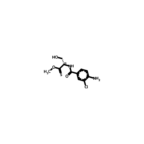 COC(=S)[C@H](CO)NC(=O)c1ccc(N)c(Cl)c1